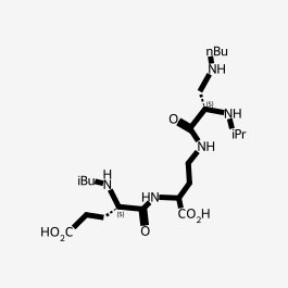 CCCCNC[C@H](NC(C)C)C(=O)NCCC(NC(=O)[C@H](CCC(=O)O)NC(C)CC)C(=O)O